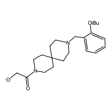 CC(C)COc1ccccc1CN1CCC2(CC1)CCN(C(=O)C[O])CC2